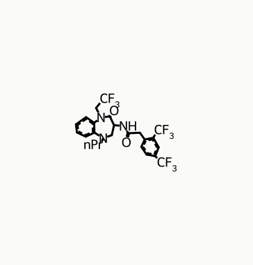 CCCN1CC(NC(=O)Cc2ccc(C(F)(F)F)cc2C(F)(F)F)C(=O)N(CC(F)(F)F)c2ccccc21